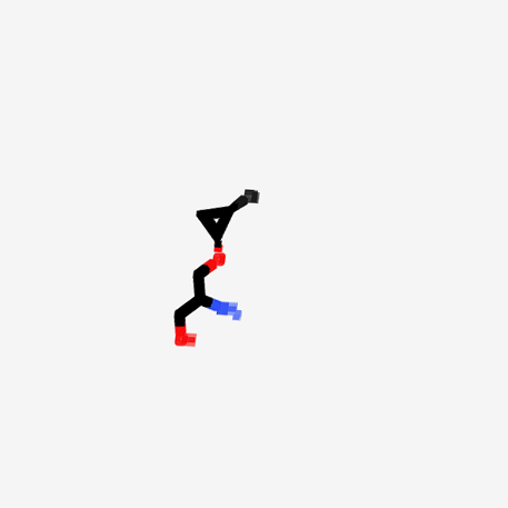 CC[C@@H]1C[C@H]1OCC(N)CO